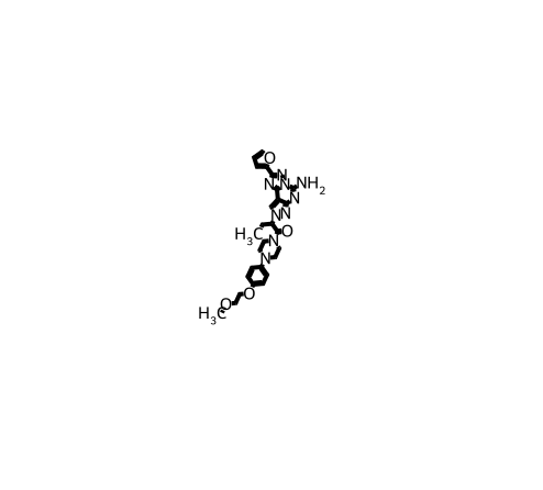 CCC(C(=O)N1CCN(c2ccc(OCCOC)cc2)CC1)n1cc2c(nc(N)n3nc(-c4ccco4)nc23)n1